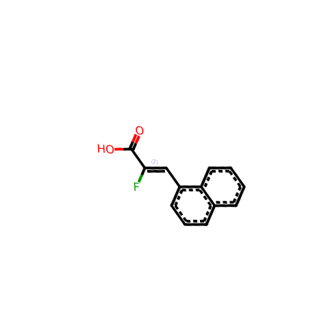 O=C(O)/C(F)=C/c1cccc2ccccc12